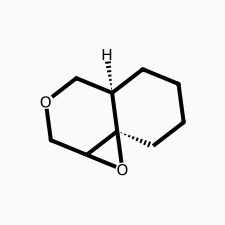 C1CC[C@]23OC2COC[C@H]3C1